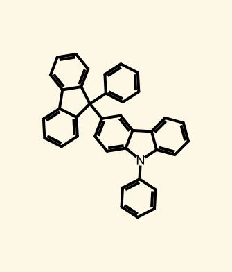 c1ccc(-n2c3ccccc3c3cc(C4(c5ccccc5)c5ccccc5-c5ccccc54)ccc32)cc1